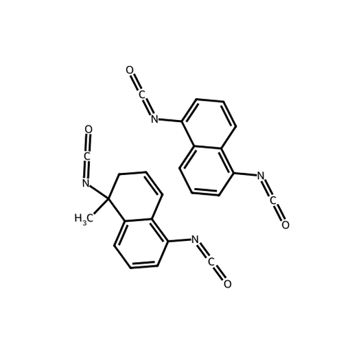 CC1(N=C=O)CC=Cc2c(N=C=O)cccc21.O=C=Nc1cccc2c(N=C=O)cccc12